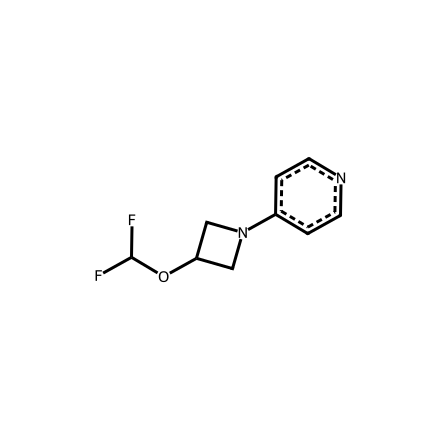 FC(F)OC1CN(c2ccncc2)C1